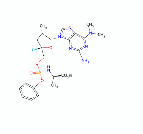 CCOC(=O)[C@@H](C)N[P@](=O)(OC[C@]1(F)C[C@H](C)[C@H](n2cnc3c(N(C)C)nc(N)nc32)O1)Oc1ccccc1